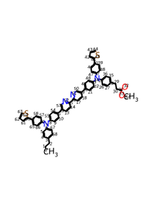 CCCc1ccc(N(c2ccc(-c3ccc(-c4ccc(-c5ccc(N(c6ccc(CCC(=O)OC)cc6)c6ccc(-c7cccs7)cc6)cc5)cn4)nc3)cc2)c2ccc(-c3cccs3)cc2)cc1